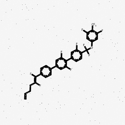 C=CCC/C(F)=C(\F)c1ccc(-c2cc(F)c(-c3ccc(C(F)(F)Oc4cc(F)c(C(F)(F)F)c(F)c4)c(F)c3)c(F)c2)cc1